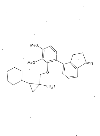 COc1ccc(-c2cccc3c2CCC3=O)c(OCC2(C(=O)O)CC2C2CCCCC2)c1OC